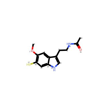 COc1cc2c(CCNC(C)=O)c[nH]c2cc1S